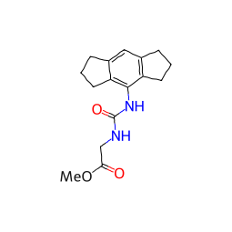 COC(=O)CNC(=O)Nc1c2c(cc3c1CCC3)CCC2